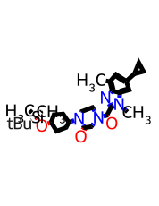 Cc1cc(C2CC2)cc2c1nc(C(=O)N1CCN(C3CCC(O[Si](C)(C)C(C)(C)C)CC3)C(=O)C1)n2C